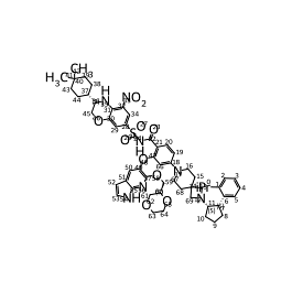 CC(C)c1ccccc1[C@@H]1CCC[C@@H]1N1CC2(CCN(c3ccc(C(=O)NS(=O)(=O)c4cc5c(c([N+](=O)[O-])c4)N[C@@H](C4CCC(C)(C)CC4)CO5)c(Oc4cc5cc[nH]c5nc4OC[C@@H]4COCCO4)c3)CC2)C1